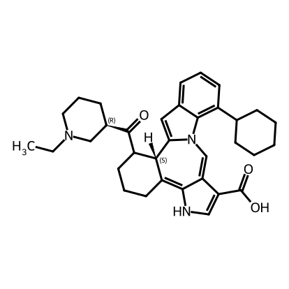 CCN1CCC[C@@H](C(=O)C2CCCC3=c4[nH]cc(C(=O)O)c4=Cn4c(cc5cccc(C6CCCCC6)c54)[C@H]32)C1